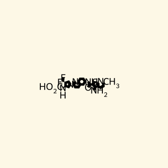 Cc1ccc2c(N)c(C(=O)N[C@H]3CCc4nc(N5C[C@@H](NC(=O)O)[C@H](C(F)F)C5)ccc4C3)sc2n1